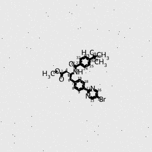 COC(=O)C[C@H](Cc1ccc(-c2ncc(Br)cn2)cc1)NC(=O)c1ccc(C(C)(C)C)cc1